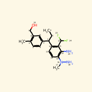 CCC(c1ccc(C)c(CO)c1)c1ccc(N(C)N)c(N)c1C(F)F